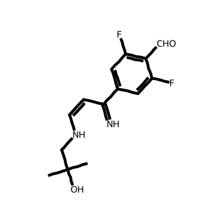 CC(C)(O)CN/C=C\C(=N)c1cc(F)c(C=O)c(F)c1